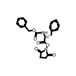 O=C(N[C@H](Cc1ccccc1)C(=O)ON1C(=O)CCC1=O)OCc1ccccc1